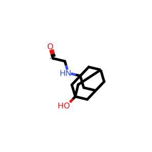 O=[C]CNC12CC3CC(CC(O)(C3)C1)C2